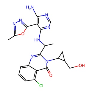 Cc1nnc(-c2c(N)ncnc2NC(C)c2nc3cccc(Cl)c3c(=O)n2C2CC2CO)o1